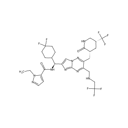 CCn1nccc1C(=O)N[C@H](c1cn2nc(C[C@H]3C[C@@H](C(F)(F)F)CNC3=O)c(CNCC(F)(F)F)nc2n1)C1CCC(F)(F)CC1